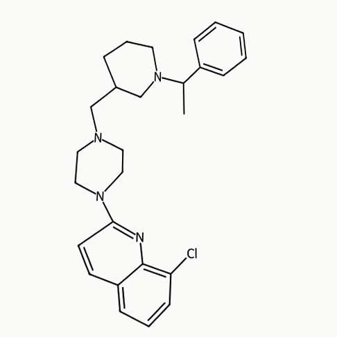 CC(c1ccccc1)N1CCCC(CN2CCN(c3ccc4cccc(Cl)c4n3)CC2)C1